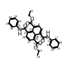 CCOC(=O)c1ccc(C(=O)Nc2ccccc2)c2c(C(=O)OCC)ccc(C(=O)Nc3ccccc3)c12